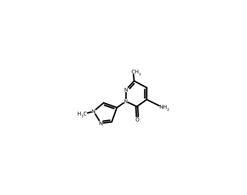 Cc1cc(N)c(=O)n(-c2cnn(C)c2)n1